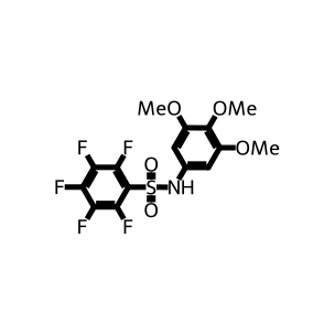 COc1cc(NS(=O)(=O)c2c(F)c(F)c(F)c(F)c2F)cc(OC)c1OC